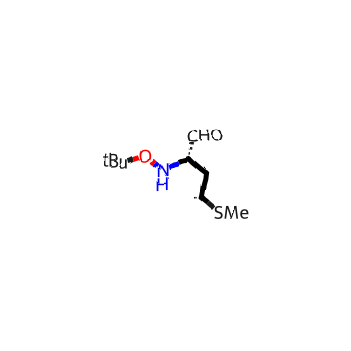 CS[CH]C[C@@H](C=O)NOC(C)(C)C